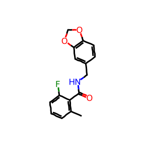 Cc1cccc(F)c1C(=O)NCc1ccc2c(c1)OCO2